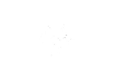 C[C@H]1Nc2ccccc2C(Nc2ccccc2)[C@H]1C(=O)c1cccs1